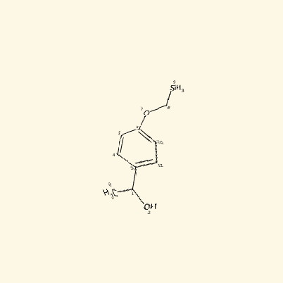 CC(O)c1ccc(OC[SiH3])cc1